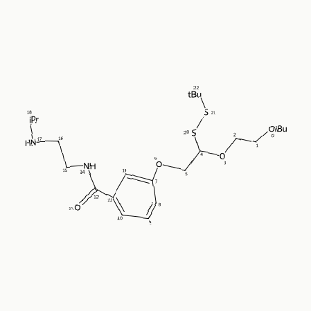 CC(C)COCCOC(COc1cccc(C(=O)NCCNC(C)C)c1)SSC(C)(C)C